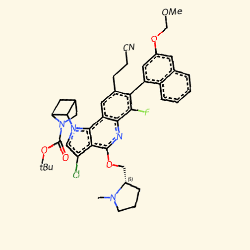 COCOc1cc(-c2c(CCC#N)cc3c(nc(OC[C@@H]4CCCN4C)c4c(Cl)cn(C5C6CC5N(C(=O)OC(C)(C)C)C6)c43)c2F)c2ccccc2c1